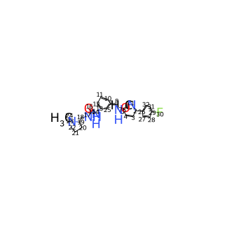 C/N=C(\C=C/C(=O)NCc1cccc(NC(=O)NCC2CCCN2C)c1)c1ccc(F)cc1